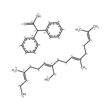 CC(C)=CCCC(C)=CCCC(=CCCC(C)=CCO)CO.O=C(O)C(c1ccccc1)c1ccccc1